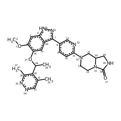 COc1cc2[nH]nc(-c3ccc(N4CCN5C(=O)NCC5C4)nc3)c2cc1OC(C)c1c(C)cnnc1C